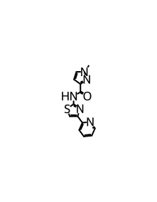 Cn1ccc(C(=O)Nc2nc(-c3ccccn3)cs2)n1